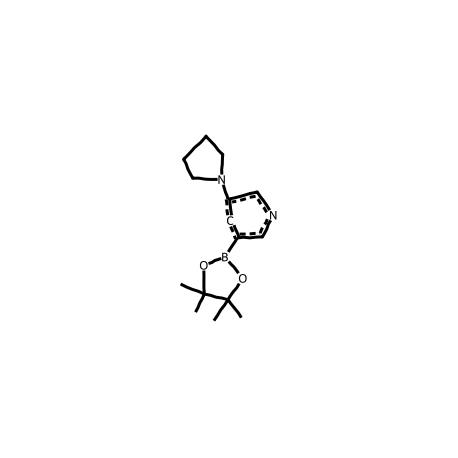 CC1(C)OB(c2cncc(N3CCCC3)c2)OC1(C)C